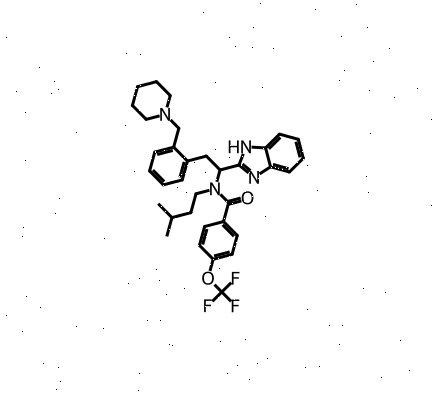 CC(C)CCN(C(=O)c1ccc(OC(F)(F)F)cc1)C(Cc1ccccc1CN1CCCCC1)c1nc2ccccc2[nH]1